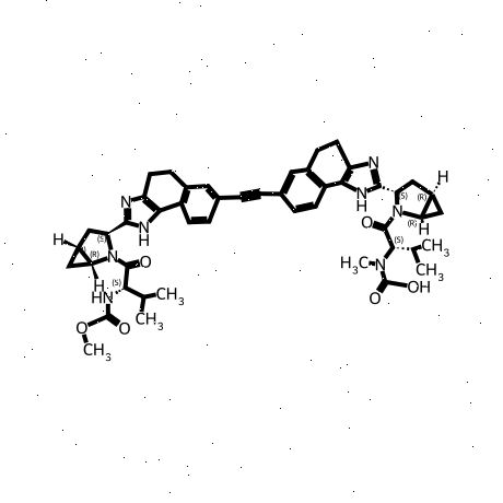 COC(=O)N[C@H](C(=O)N1[C@@H]2C[C@@H]2C[C@H]1c1nc2c([nH]1)-c1ccc(C#Cc3ccc4c(c3)CCc3nc([C@@H]5C[C@H]6C[C@H]6N5C(=O)[C@H](C(C)C)N(C)C(=O)O)[nH]c3-4)cc1CC2)C(C)C